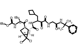 CC(C)(C)OC(=O)N[C@H](C(=O)N1C[C@H]2[C@@H]([C@H]1C(=O)NC(CC1CCC1)C(=O)C(=O)NCC(=O)NC(C)(C)c1ccccc1)C2(Cl)Cl)C(C)(C)C